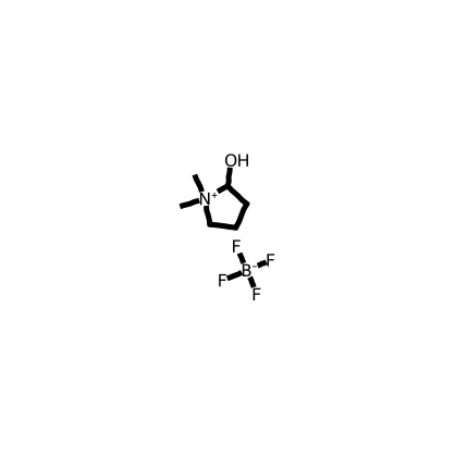 C[N+]1(C)CCCC1O.F[B-](F)(F)F